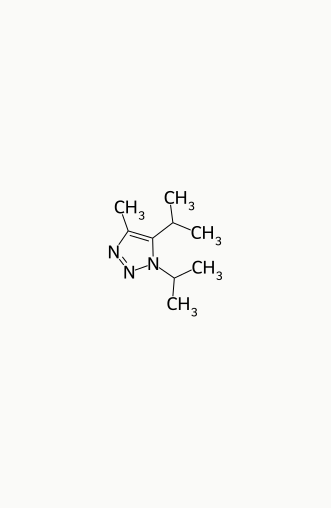 Cc1nnn(C(C)C)c1C(C)C